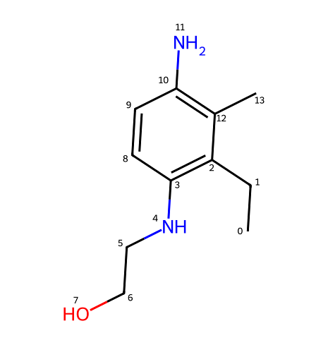 CCc1c(NCCO)ccc(N)c1C